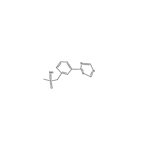 CS(=N)(=O)Cc1cccc(-c2ncncn2)c1